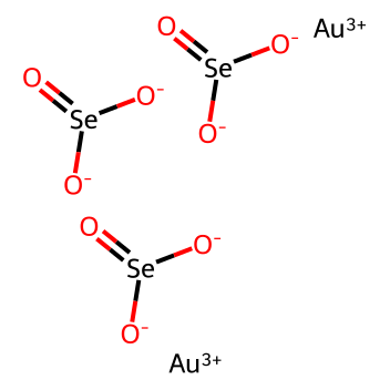 O=[Se]([O-])[O-].O=[Se]([O-])[O-].O=[Se]([O-])[O-].[Au+3].[Au+3]